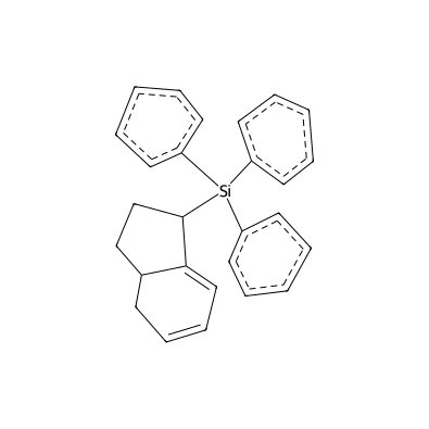 C1=CCC2CCC([Si](c3ccccc3)(c3ccccc3)c3ccccc3)C2=C1